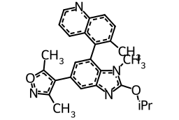 Cc1ccc2ncccc2c1-c1cc(-c2c(C)noc2C)cc2nc(OC(C)C)n(C)c12